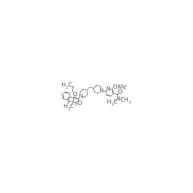 C=CCO[C@@](C(=O)N1CCC(CC2CCN(c3ccc(C(=O)N(C)C)c(OC)n3)CC2)CC1)(c1ccccc1)C(C)(F)F